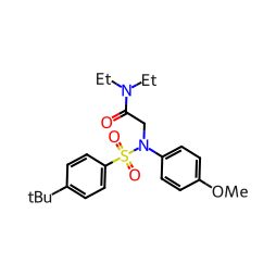 CCN(CC)C(=O)CN(c1ccc(OC)cc1)S(=O)(=O)c1ccc(C(C)(C)C)cc1